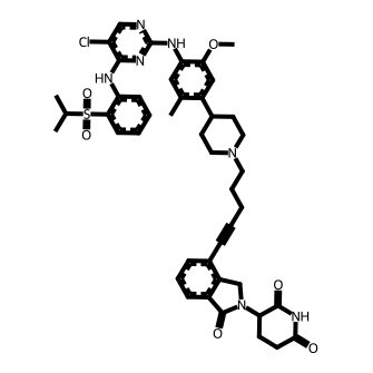 COc1cc(C2CCN(CCCC#Cc3cccc4c3CN(C3CCC(=O)NC3=O)C4=O)CC2)c(C)cc1Nc1ncc(Cl)c(Nc2ccccc2S(=O)(=O)C(C)C)n1